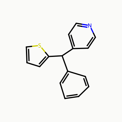 c1ccc(C(c2ccncc2)c2cccs2)cc1